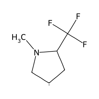 CN1C[CH]CC1C(F)(F)F